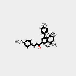 Cc1ccc(-c2cc(C(=O)/C=C/c3ccc(C(=O)O)cc3)cc3c2C(C)(C)CCC3(C)C)cc1